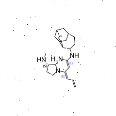 C=C/C=C(\C=C(/N)NC1CCC2CC3CC(C2)C1C3)N1CC[C@H](NC)C1